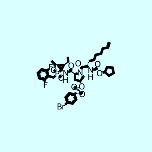 C=CCCCCC[C@H](NC(=O)OC1CCCC1)C(=O)N1C[C@@H](OS(=O)(=O)c2ccc(Br)cc2)C[C@H]1C(=O)N[C@]1(P(=O)(Cc2c(F)cccc2F)OCC)C[C@H]1CC